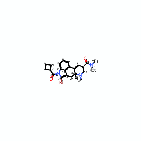 CCN(CC)C(=O)[C@@H]1C=C2c3cccc4c3c(c(Br)n4C(=O)C3CCC3)C[C@H]2N(C)C1